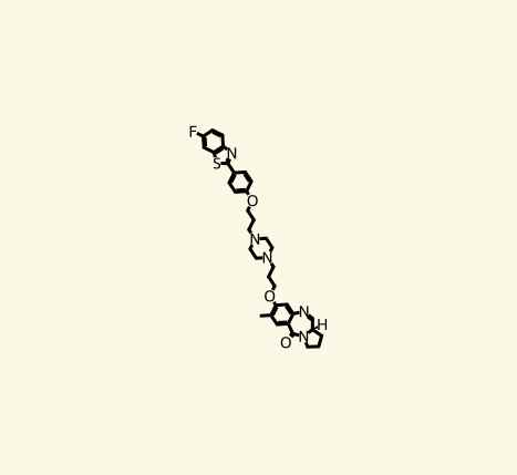 Cc1cc2c(cc1OCCCN1CCN(CCCOc3ccc(-c4nc5ccc(F)cc5s4)cc3)CC1)N=C[C@@H]1CCCN1C2=O